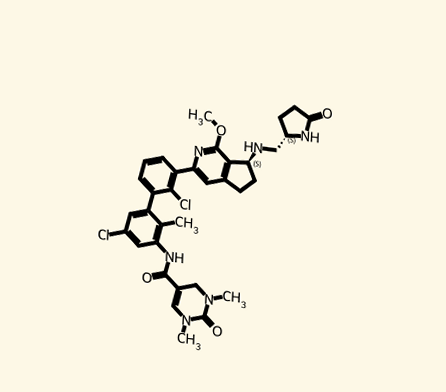 COc1nc(-c2cccc(-c3cc(Cl)cc(NC(=O)C4=CN(C)C(=O)N(C)C4)c3C)c2Cl)cc2c1[C@@H](NC[C@@H]1CCC(=O)N1)CC2